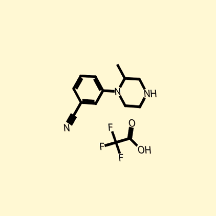 CC1CNCCN1c1cccc(C#N)c1.O=C(O)C(F)(F)F